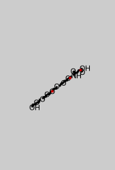 O=C(O)CCC(=O)NCCOCCOCCOCCOCCOCCOCCOCCO